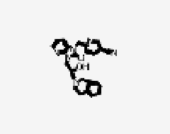 N#Cc1ccc(Cn2c(=O)n(CC(O)CN3CCc4ccccc4C3)c3ncccc32)nc1